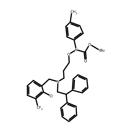 Cc1ccc(N(OCCCN(Cc2cccc(C(F)(F)F)c2Cl)CC(c2ccccc2)c2ccccc2)C(=O)OC(C)(C)C)cc1